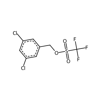 O=S(=O)(OCc1cc(Cl)cc(Cl)c1)C(F)(F)F